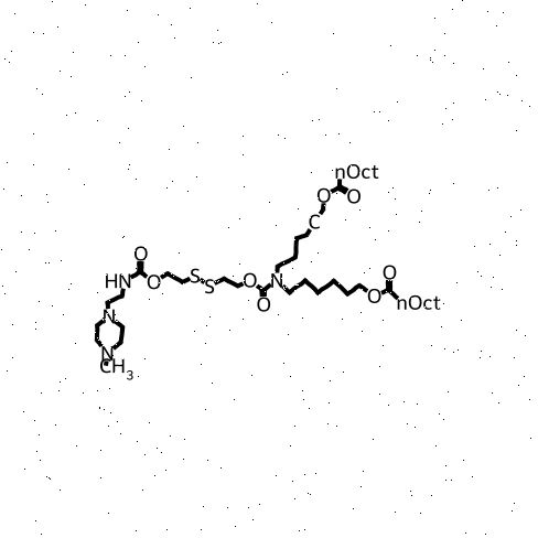 CCCCCCCCC(=O)OCCCCCCN(CCCCCCOC(=O)CCCCCCCC)C(=O)OCCSSCCOC(=O)NCCN1CCN(C)CC1